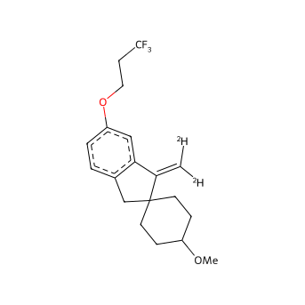 [2H]C([2H])=C1c2cc(OCCC(F)(F)F)ccc2CC12CCC(OC)CC2